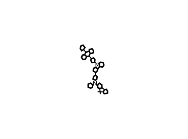 CC1(C)c2ccccc2-c2ccc(N(c3ccccc3)c3ccc(-c4ccc5c(c4)c4ccccc4n5-c4ccc(-c5c6ccccc6c(-c6ccccc6)c6ccccc56)cc4)cc3)cc21